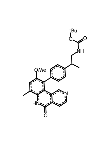 COc1cc(C)c2[nH]c(=O)c3ccncc3c2c1-c1ccc(C(C)CNC(=O)OC(C)(C)C)cc1